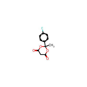 CC1(c2ccc(F)cc2)OC(=O)CC(=O)O1